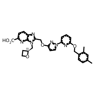 Cc1ccc(COc2cccc(-n3ccc(OCc4nc5ccc(C(=O)O)nc5n4C[C@@H]4CCO4)n3)n2)c(C)c1